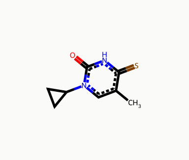 Cc1cn(C2CC2)c(=O)[nH]c1=S